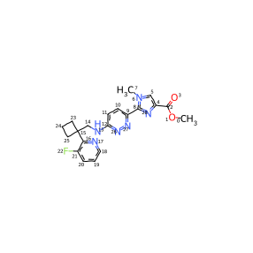 COC(=O)c1cn(C)c(-c2ccc(NCC3(c4ncccc4F)CCC3)nn2)n1